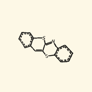 C1=C2Sc3ccccc3N=C2Sc2ccccc21